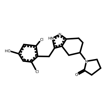 O=C1CCCN1C1CCc2n[nH]c(Cc3c(Cl)cc(O)cc3Cl)c2C1